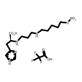 O=C(O)C(F)(F)F.O=C(O)[C@H](Cc1c[nH]cn1)NCCCNCCCCCO[N+](=O)[O-]